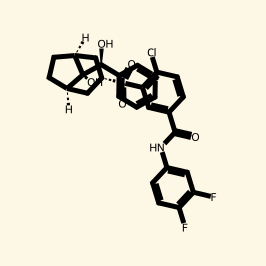 O=C(Nc1ccc(F)c(F)c1)c1ccc(Cl)c(S(=O)(=O)[C@@H]2C[C@H]3CC[C@@H](C2)[C@@]3(O)[C@@H](O)c2cccnc2)c1